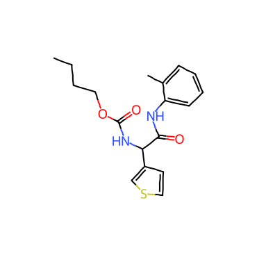 CCCCOC(=O)NC(C(=O)Nc1ccccc1C)c1ccsc1